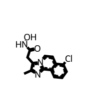 Cc1nc2c3cccc(Cl)c3ccn2c1CC(=O)NO